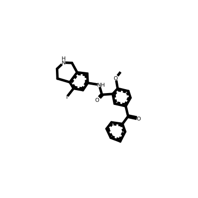 COc1ccc(C(=O)c2ccccc2)cc1C(=O)Nc1cc(I)c2c(c1)CNCC2